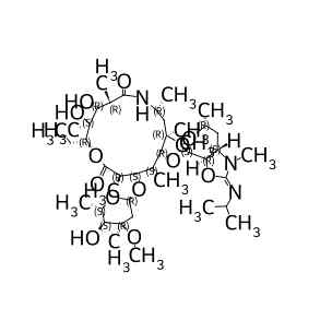 CC[C@H]1OC(=O)[C@H](C)[C@@H](O[C@H]2C[C@@](C)(OC)[C@@H](O)[C@H](C)O2)[C@H](C)[C@@H](O[C@@H]2O[C@H](C)C[C@H]3[C@H]2OC(=NC(C)C)N3C)[C@](C)(OC)C[C@@H](C)NC(=O)[C@H](C)[C@@H](O)[C@]1(C)O